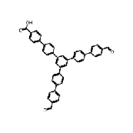 O=Cc1ccc(-c2ccc(-c3cc(-c4ccc(-c5ccc(C=O)cc5)cc4)cc(-c4ccc(-c5ccc(C(=O)O)cc5)cc4)c3)cc2)cc1